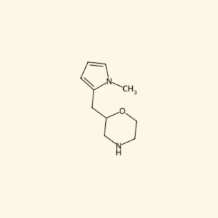 Cn1cccc1CC1CNCCO1